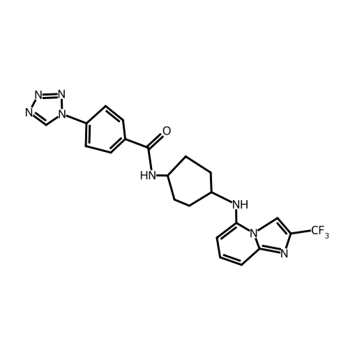 O=C(NC1CCC(Nc2cccc3nc(C(F)(F)F)cn23)CC1)c1ccc(-n2cnnn2)cc1